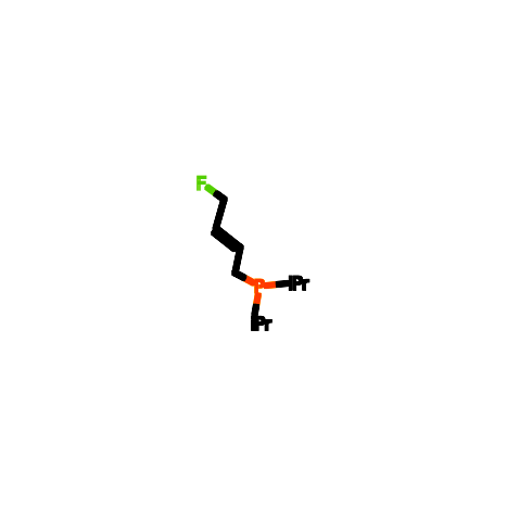 CC(C)P(CC=CCF)C(C)C